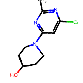 Cc1nc(Cl)cc(N2CCC(O)CC2)n1